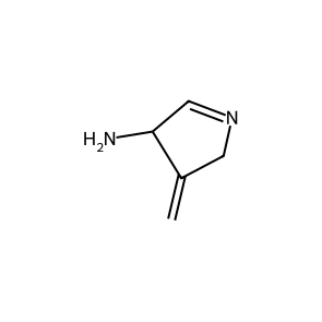 C=C1CN=CC1N